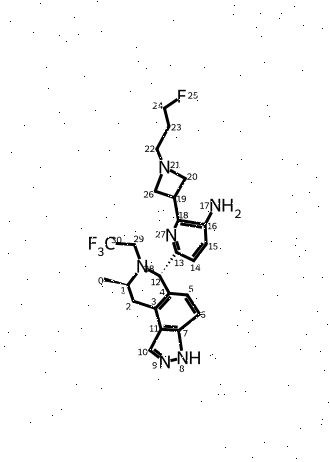 C[C@@H]1Cc2c(ccc3[nH]ncc23)[C@@H](c2ccc(N)c(C3CN(CCCF)C3)n2)N1CC(F)(F)F